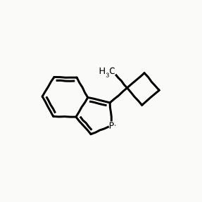 CC1(C2=c3ccccc3=C[P]2)CCC1